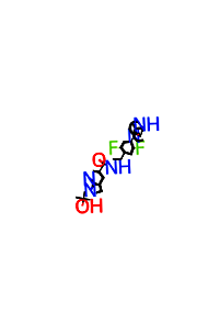 CC(C)(O)Cn1ccc2cc(C(=O)NCCc3cc(F)c(N4CC5CCCC4CN5)cc3F)cnc21